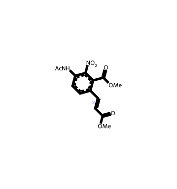 COC(=O)/C=C/c1ccc(NC(C)=O)c([N+](=O)[O-])c1C(=O)OC